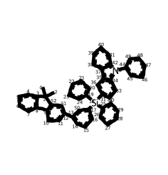 CC1(C)c2ccccc2-c2ccc(-c3cccc([Si](c4ccccc4)(c4ccccc4)c4ccc5c(c4)c4ccccc4n5-c4ccccc4)c3)cc21